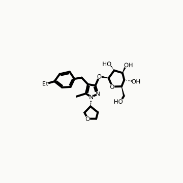 CCc1ccc(Cc2c(O[C@@H]3O[C@H](CO)[C@@H](O)[C@H](O)[C@H]3O)nn([C@@H]3CCOC3)c2C)cc1